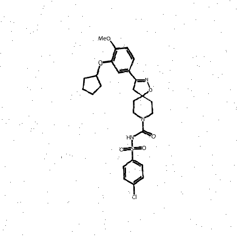 COc1ccc(C2=NOC3(CCN(C(=O)NS(=O)(=O)c4ccc(Cl)cc4)CC3)C2)cc1OC1CCCC1